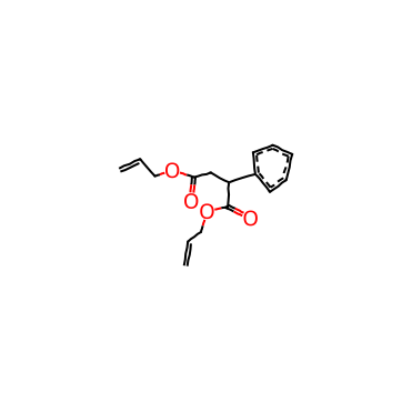 C=CCOC(=O)CC(C(=O)OCC=C)c1ccccc1